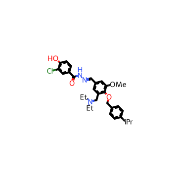 CCN(CC)Cc1cc(/C=N/NC(=O)c2ccc(O)c(Cl)c2)cc(OC)c1OCc1ccc(C(C)C)cc1